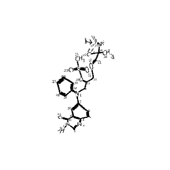 [2H]n1cnc2ccc(N(CC(COCC(C)(C)NP)OS(C)(=O)=O)c3ccccc3)cc2c1=O